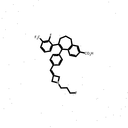 O=C(O)c1ccc2c(c1)CCCC(c1cccc(C(F)(F)F)c1F)=C2c1ccc(C=C2CN(CCCF)C2)cc1